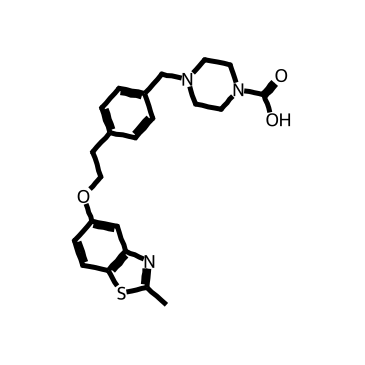 Cc1nc2cc(OCCc3ccc(CN4CCN(C(=O)O)CC4)cc3)ccc2s1